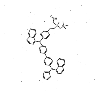 C[Si](C)(C)O[Si](C)(CCc1ccc(N(c2ccc(-c3ccc(N(c4ccccc4)c4cccc5ccccc45)cc3)cc2)c2cccc3ccccc23)cc1)C[SiH]=O